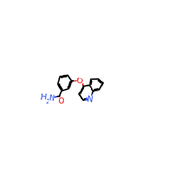 NC(=O)c1cccc(Oc2ccnc3ccccc23)c1